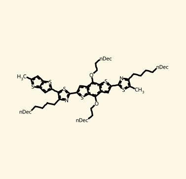 CCCCCCCCCCCCCCc1nc(-c2cc3c(OCCCCCCCCCCCC)c4sc(-c5nc(CCCCCCCCCCCCCC)c(-c6cc7sc(C)cc7s6)s5)cc4c(OCCCCCCCCCCCC)c3s2)sc1C